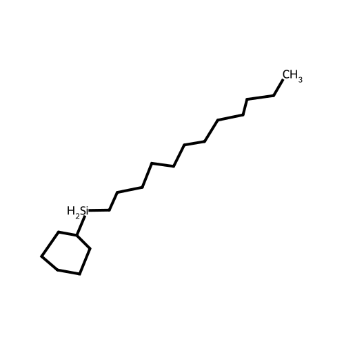 CCCCCCCCCCCC[SiH2]C1CCCCC1